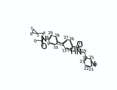 CC(=O)N(CC1CC1)c1ccc(-c2ccc(C(=O)NCc3cccnc3)cc2)cc1